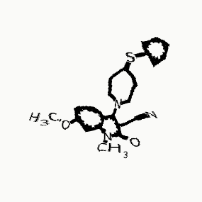 COc1ccc2c(N3CCC(Sc4ccccc4)CC3)c(C#N)c(=O)n(C)c2c1